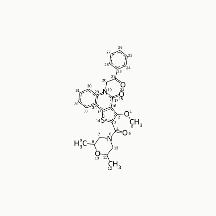 COc1c(C(=O)N2CC(C)OC(C)C2)sc2c1c(=O)n(CC(=O)c1ccccc1)c1ccccc21